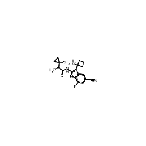 CC(C(=O)Nc1nc2c(F)cc(C#N)cc2n1C1(C)CCC1)C1(C)CC1